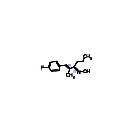 CCCC(=N\O)/C(C)=C/c1ccc(F)cc1